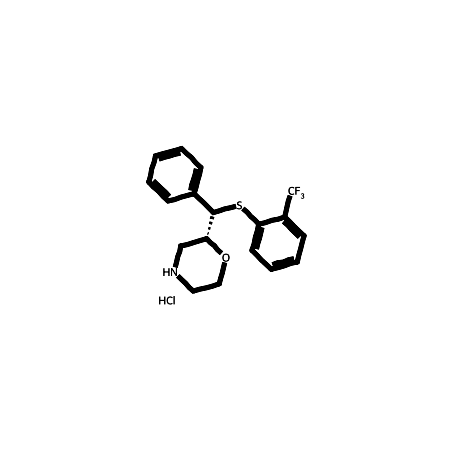 Cl.FC(F)(F)c1ccccc1SC(c1ccccc1)[C@H]1CNCCO1